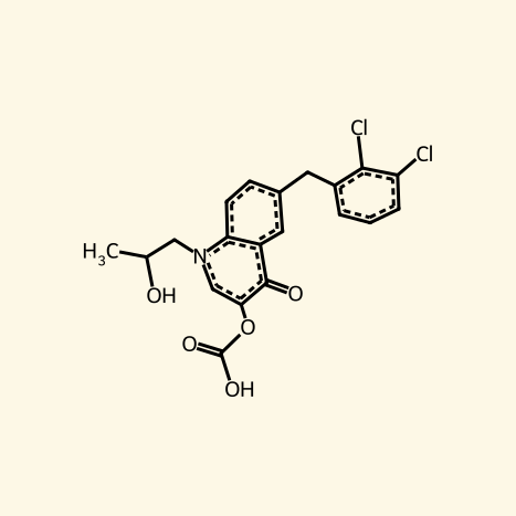 CC(O)Cn1cc(OC(=O)O)c(=O)c2cc(Cc3cccc(Cl)c3Cl)ccc21